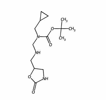 CC(C)(C)OC(=O)N(CNCC1CNC(=O)O1)CC1CC1